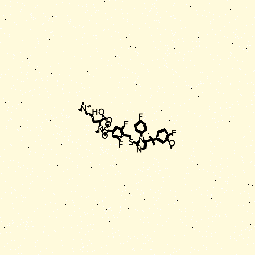 COc1cc(C(C)(C)c2cnc(SCc3c(F)cc(S(=O)(=O)N(C)C(CCC[N+](C)(C)C)C(=O)O)cc3F)n2-c2ccc(F)cc2)ccc1F